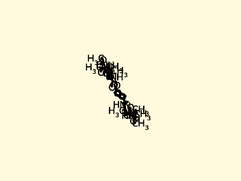 COC(=O)N[C@@H](C(=O)N(C)[C@@H](C)c1ncc(-c2ccc3cc(C4OCC(c5cnc([C@H](C)N(C)C(=O)[C@H](NC(=O)OC)C(C)C)[nH]5)CO4)ccc3c2)[nH]1)C(C)C